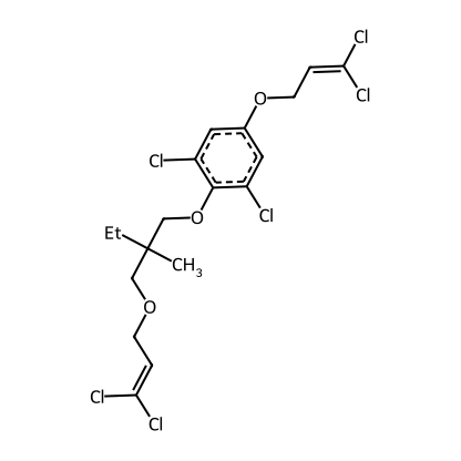 CCC(C)(COCC=C(Cl)Cl)COc1c(Cl)cc(OCC=C(Cl)Cl)cc1Cl